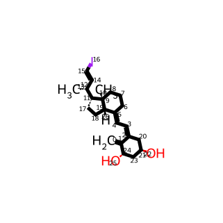 C=C1/C(=C\C=C2/CCC[C@]3(C)[C@@H]([C@H](C)/C=C/I)CC[C@@H]23)C[C@@H](O)C[C@@H]1O